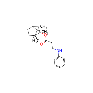 CC1(C)C2CC[C@@]1(C)C(OC(=O)CCNc1ccccc1)C2